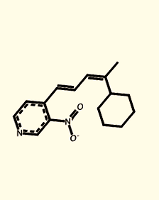 CC(=CC=Cc1ccncc1[N+](=O)[O-])C1CCCCC1